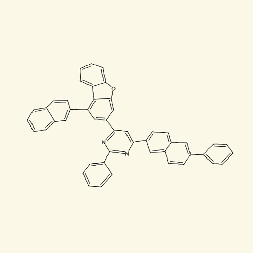 c1ccc(-c2ccc3cc(-c4cc(-c5cc(-c6ccc7ccccc7c6)c6c(c5)oc5ccccc56)nc(-c5ccccc5)n4)ccc3c2)cc1